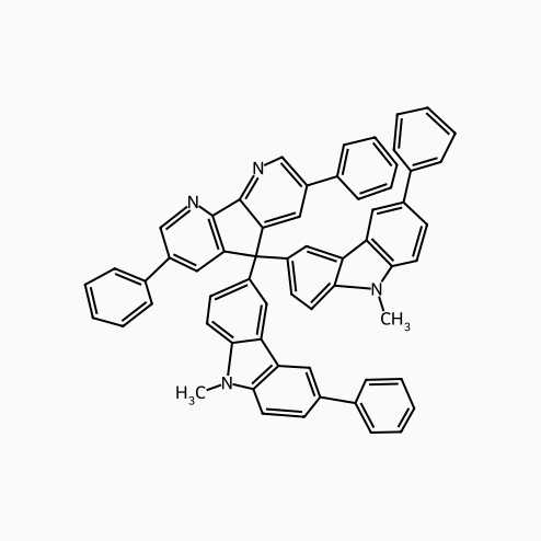 Cn1c2ccc(-c3ccccc3)cc2c2cc(C3(c4ccc5c(c4)c4cc(-c6ccccc6)ccc4n5C)c4cc(-c5ccccc5)cnc4-c4ncc(-c5ccccc5)cc43)ccc21